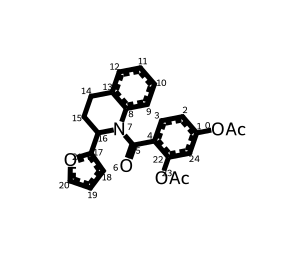 CC(=O)Oc1ccc(C(=O)N2c3ccccc3CCC2c2ccco2)c(OC(C)=O)c1